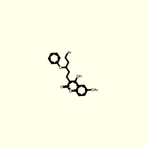 CC(=O)Oc1ccc2oc(=O)c(CCC(CCC(C)C)Oc3ccccc3)c(O)c2c1